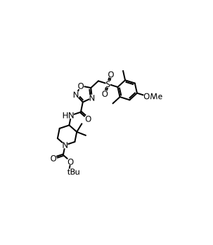 COc1cc(C)c(S(=O)(=O)Cc2nc(C(=O)NC3CCN(C(=O)OC(C)(C)C)CC3(C)C)no2)c(C)c1